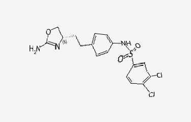 NC1=N[C@@H](CCc2ccc(NS(=O)(=O)c3ccc(Cl)c(Cl)c3)cc2)CO1